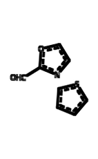 O=Cc1ncco1.c1ccsc1